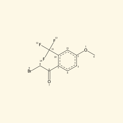 COc1ccc(C(=O)CBr)c(C(F)(F)F)c1